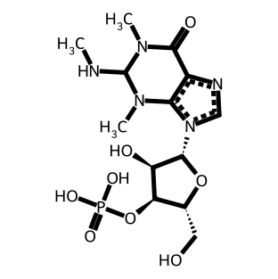 CNC1N(C)C(=O)c2ncn([C@@H]3O[C@H](CO)[C@@H](OP(=O)(O)O)[C@H]3O)c2N1C